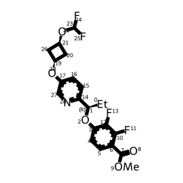 CC[C@@H](Oc1ccc(C(=O)OC)c(F)c1F)c1ccc(O[C@H]2C[C@H](OC(F)F)C2)cn1